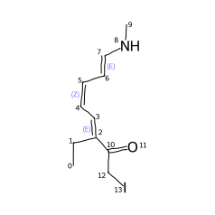 CC\C(=C/C=C\C=C\NC)C(=O)CI